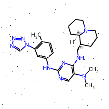 Cc1ccc(Nc2ncc(N(C)C)c(NC[C@@H]3CCCN4CCCC[C@H]34)n2)cc1-n1cnnn1